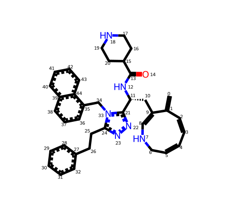 C=C1/C=C\C=C/CN/C=C\1C[C@@H](NC(=O)C1CCNCC1)c1nnc(CCc2ccccc2)n1Cc1cccc2ccccc12